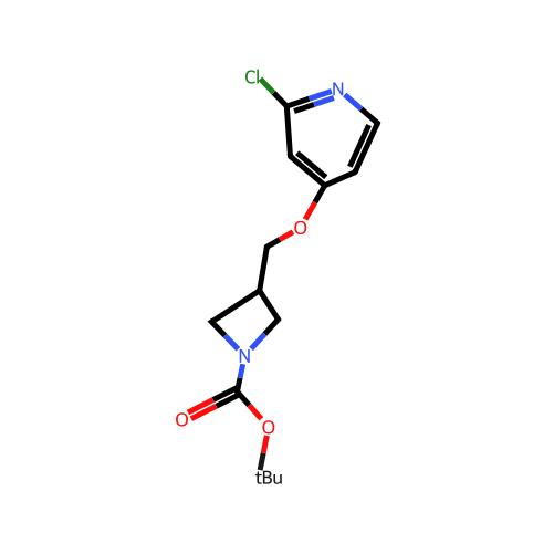 CC(C)(C)OC(=O)N1CC(COc2ccnc(Cl)c2)C1